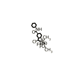 CCOP(=O)(OCC)C(F)(F)c1sc2ccc(C(=O)Nc3ccccc3)cc2c1Cl